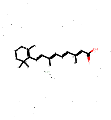 CC1=C(/C=C/C(C)=C/C=C/C(C)=C/C(=O)O)C(C)(C)CCC1.Cl